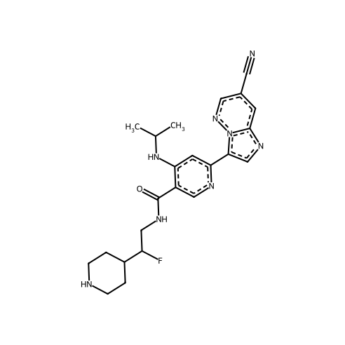 CC(C)Nc1cc(-c2cnc3cc(C#N)cnn23)ncc1C(=O)NCC(F)C1CCNCC1